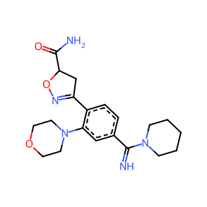 N=C(c1ccc(C2=NOC(C(N)=O)C2)c(N2CCOCC2)c1)N1CCCCC1